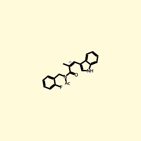 CC(=O)N(Cc1ccccc1F)C(=O)/C(C)=C\c1c[nH]c2ccccc12